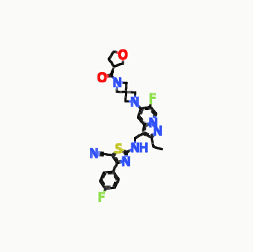 CCc1nn2cc(F)c(N3CC4(CN(C(=O)[C@H]5CCOC5)C4)C3)cc2c1CNc1nc(-c2ccc(F)cc2)c(C#N)s1